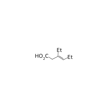 CC/C=C(\CC)CC(=O)O